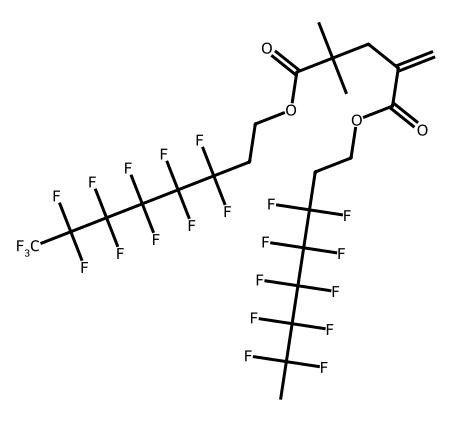 C=C(CC(C)(C)C(=O)OCCC(F)(F)C(F)(F)C(F)(F)C(F)(F)C(F)(F)C(F)(F)F)C(=O)OCCC(F)(F)C(F)(F)C(F)(F)C(F)(F)C(C)(F)F